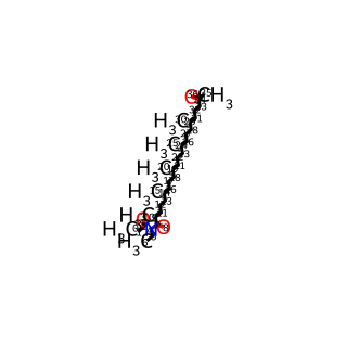 CCC(=O)N(CC)C(=O)/C(C)=C/CC/C(C)=C/CC/C(C)=C/CC/C(C)=C/CC/C(C)=C/CCC(C)=O